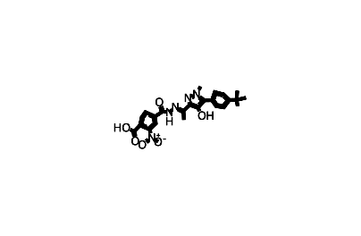 C/C(=N\NC(=O)c1ccc(C(=O)O)c([N+](=O)[O-])c1)c1nn(C)c(-c2ccc(C(C)(C)C)cc2)c1O